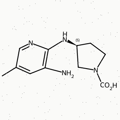 Cc1cnc(N[C@H]2CCN(C(=O)O)C2)c(N)c1